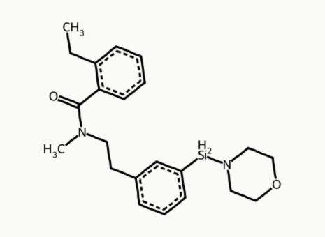 CCc1ccccc1C(=O)N(C)CCc1cccc([SiH2]N2CCOCC2)c1